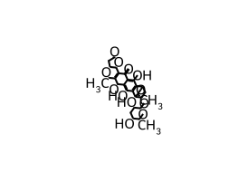 CC1OC2CC(=O)OC2C2=C1C(=O)c1c(O)c3c(c(O)c1C2=O)C1CC(OC2CCC(O)C(C)O2)C3(O)C(C)O1